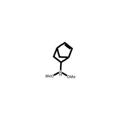 CO[SiH](OC)C1CC2C=CC1C2